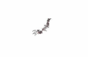 [N-]=[N+]=Nc1cnc(N2CCN(c3ncc(C(=O)NCCOCCOCCOCCC(=O)NCCCCn4nc(-c5ccc6oc(N)nc6c5)c5c(N)ncnc54)cn3)CC2)nc1